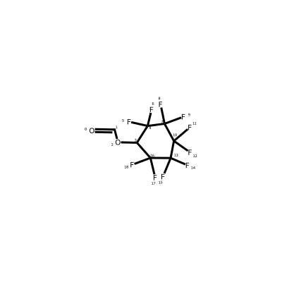 O=COC1C(F)(F)C(F)(F)C(F)(F)C(F)(F)C1(F)F